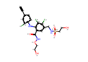 C#Cc1ccc(Nc2c(C(=O)NOCCO)cc(CNS(=O)(=O)CCO)c(F)c2F)c(F)c1